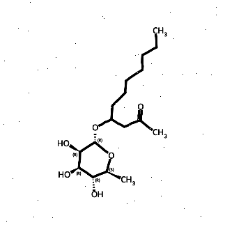 CCCCCCCC(CC(C)=O)O[C@@H]1O[C@@H](C)[C@H](O)[C@@H](O)[C@H]1O